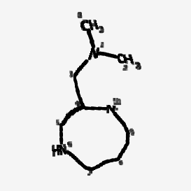 CN(C)CC1CNCCC[N]1